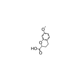 COc1ccc2c(c1)OC(C(=O)O)CC2